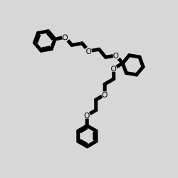 c1ccc(OCCOCCOC2(OCCOCCOc3ccccc3)CCCCC2)cc1